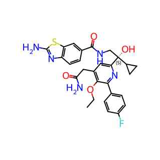 CCOc1c(CC(N)=O)cc([C@@](O)(CNC(=O)c2ccc3nc(N)sc3c2)C2CC2)nc1-c1ccc(F)cc1